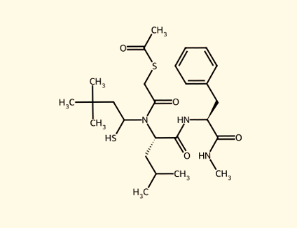 CNC(=O)[C@H](Cc1ccccc1)NC(=O)[C@H](CC(C)C)N(C(=O)CSC(C)=O)C(S)CC(C)(C)C